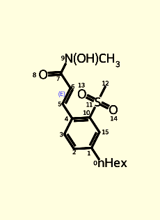 CCCCCCc1ccc(/C=C/C(=O)N(C)O)c(S(C)(=O)=O)c1